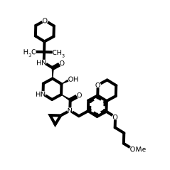 COCCCOc1cc(CN(C(=O)[C@H]2CNC[C@@H](C(=O)NC(C)(C)C3CCOCC3)[C@H]2O)C2CC2)cc2c1CCCO2